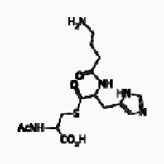 CC(=O)NC(CSC(=O)C(Cc1cnc[nH]1)NC(=O)CCCN)C(=O)O